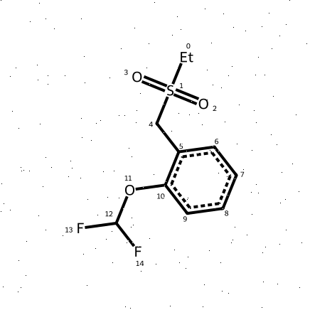 CCS(=O)(=O)Cc1ccccc1OC(F)F